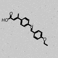 CCOc1ccc(C=Nc2ccc(C(C)=CC(=O)O)cc2)cc1